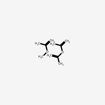 C=C(C)OC.C=C(C)OC(=C)C